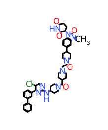 Cn1c(=O)n(C2CCC(=O)NC2=O)c2ccc(C3CCN(C(=O)CN4CCC(C(=O)N5CCC(Nc6ncc(Cl)c(-c7cccc(-c8ccccc8)c7)n6)CC5)CC4)CC3)cc21